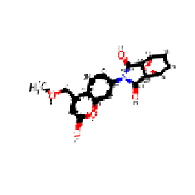 COCc1cc(=O)oc2cc(N3C(=O)C4C5CCC(O5)C4C3=O)ccc12